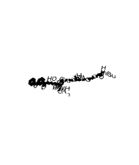 CCCCNC(=O)CCOCCOCCN/C=C(/COCCOCCO[C@]1(C(=O)O)CC[C@@H](NC(C)=N)[C@H]([C@H](O)CCCCCC(=O)c2cccc(Oc3ccccc3)c2)O1)N=N